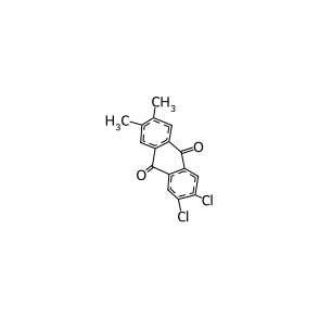 Cc1cc2c(cc1C)C(=O)c1cc(Cl)c(Cl)cc1C2=O